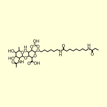 CCC(=O)NCCCCCCCC(=O)NCCCCCCOC1OC(C(=O)O)C(OC2OC(C)C(O)C(O)C2NC(C)=O)C(O)C1OS(=O)O